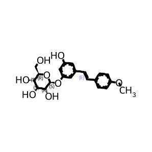 COc1ccc(/C=C/c2cc(O)cc(O[C@@H]3O[C@H](CO)[C@@H](O)[C@H](O)[C@H]3O)c2)cc1